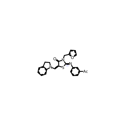 CC(=O)c1cccc(/N=C2\SC(=CN3CCc4ccccc43)C(=O)N2Cc2ccco2)c1